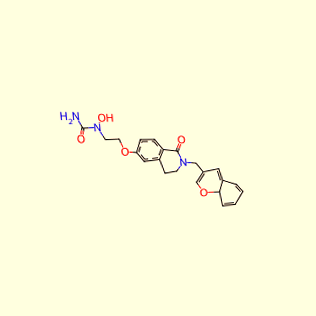 NC(=O)N(O)CCOc1ccc2c(c1)CCN(CC1=COC3C=CC=CC3=C1)C2=O